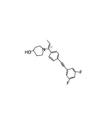 C/C=C(/c1ccc(C#Cc2cc(F)cc(F)c2)cc1)N1CCC(O)CC1